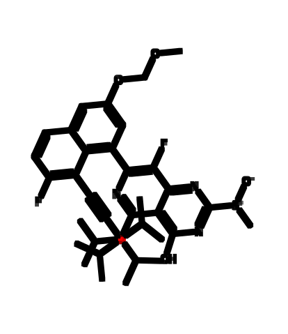 COCOc1cc(-c2nc(OC(C)C)c3c(O)nc([S+](C)[O-])nc3c2F)c2c(C#C[Si](C(C)C)(C(C)C)C(C)C)c(F)ccc2c1